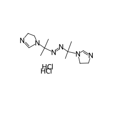 CC(C)(N=NC(C)(C)N1C=NCC1)N1C=NCC1.Cl.Cl